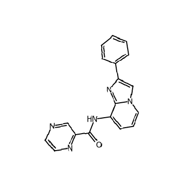 O=C(Nc1cccn2cc(-c3ccccc3)nc12)c1cnccn1